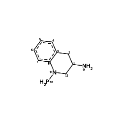 NC1Cc2ccccc2N(P)C1